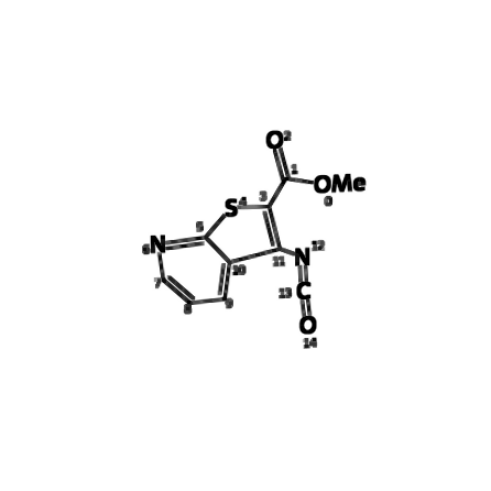 COC(=O)c1sc2ncccc2c1N=C=O